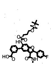 CNC(=O)c1c(-c2ccc(F)cc2)oc2cc(NS(=O)(=O)CCCO[Si](C)(C)C(C)(C)C)c(-c3cccc(C(=O)O)c3)cc12